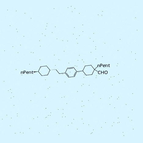 CCCCCC1(C=O)CCC(c2ccc(CC[C@H]3CC[C@H](CCCCC)CC3)cc2)CC1